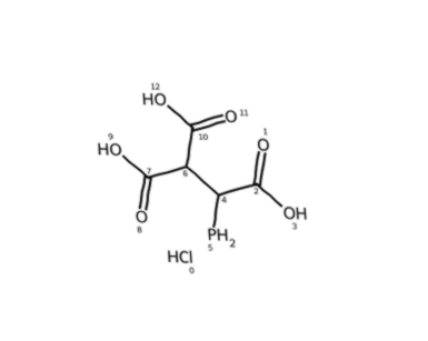 Cl.O=C(O)C(P)C(C(=O)O)C(=O)O